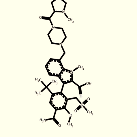 COc1c(C(N)=O)cc(C(C)(C)C)c(-c2c(C(=O)O)n(C)c3c(CN4CCN(C(=O)C5CCCN5C)CC4)cccc23)c1CS(C)(=O)=O